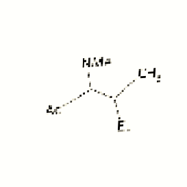 CCC(C)C(NC)C(C)=O